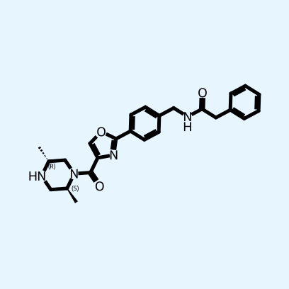 C[C@@H]1CN(C(=O)c2coc(-c3ccc(CNC(=O)Cc4ccccc4)cc3)n2)[C@@H](C)CN1